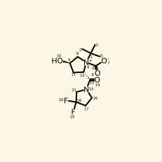 CC(C)(C)[N+]1(C(=O)[O-])C[C@H](O)C[C@H]1C(=O)N1CCC(F)(F)C1